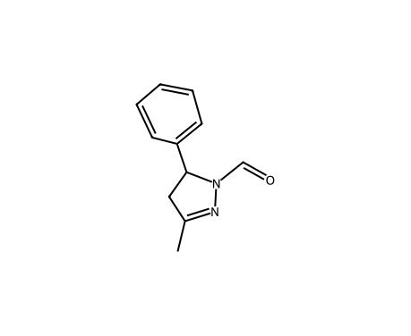 CC1=NN(C=O)C(c2ccccc2)C1